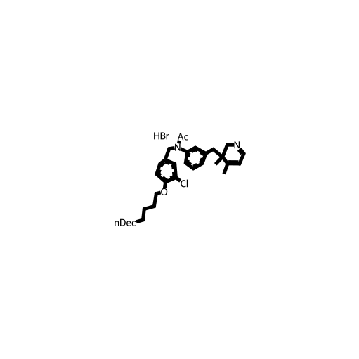 Br.CCCCCCCCCCCCCCOc1ccc(CN(C(C)=O)c2cccc(CC3(C)CN=CC=C3C)c2)cc1Cl